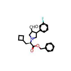 O=CC1CN([C@H](CC2CCC2)C(=O)OCc2ccccc2)CC1c1cccc(F)c1